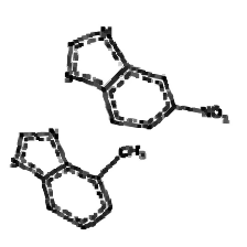 Cc1cccc2scnc12.O=[N+]([O-])c1ccc2scnc2c1